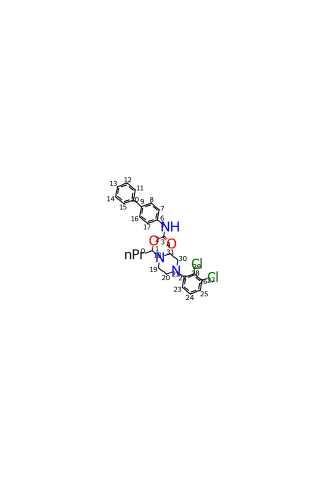 CCCC(OC(=O)Nc1ccc(-c2ccccc2)cc1)N1CCN(c2cccc(Cl)c2Cl)CC1